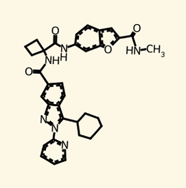 CNC(=O)c1cc2ccc(NC(=O)C3(NC(=O)c4ccc5c(C6CCCCC6)n(-c6ccccn6)nc5c4)CCC3)cc2o1